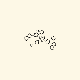 CC1C=CC(c2nc(-c3ccc(-c4cccc5ccccc45)c(-c4ccccc4)c3)nc(-c3cccc4oc5cc(-c6ccc7ccccc7c6)ccc5c34)n2)=CC1